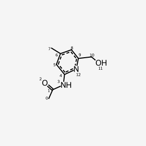 CC(=O)Nc1cc(C)cc(CO)n1